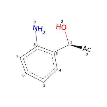 CC(=O)[C@H](O)c1ccccc1N